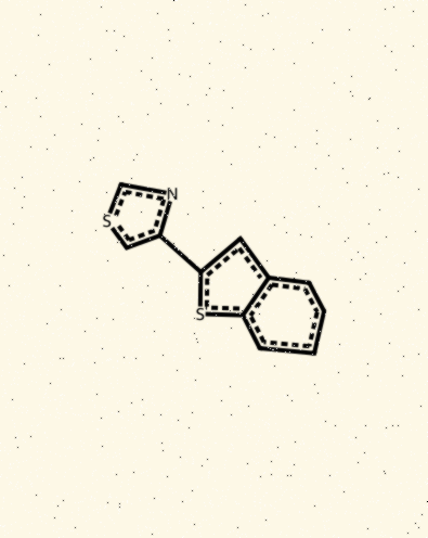 c1ccc2sc(-c3cscn3)cc2c1